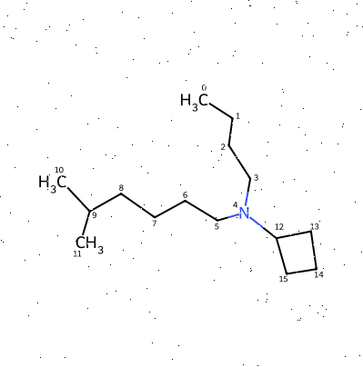 CCCCN(CCCCC(C)C)C1CCC1